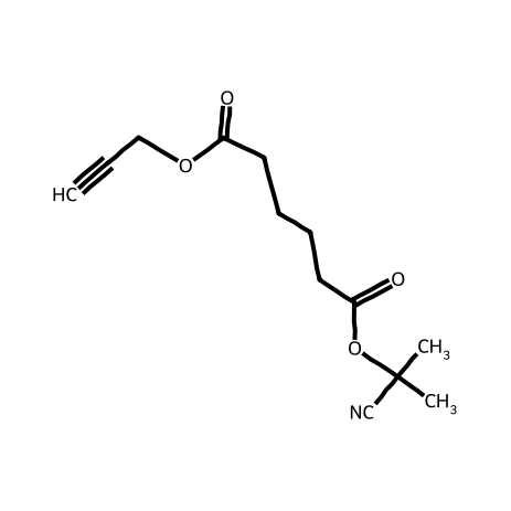 C#CCOC(=O)CCCCC(=O)OC(C)(C)C#N